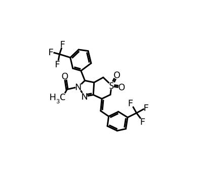 CC(=O)N1N=C2C(=Cc3cccc(C(F)(F)F)c3)CS(=O)(=O)CC2C1c1cccc(C(F)(F)F)c1